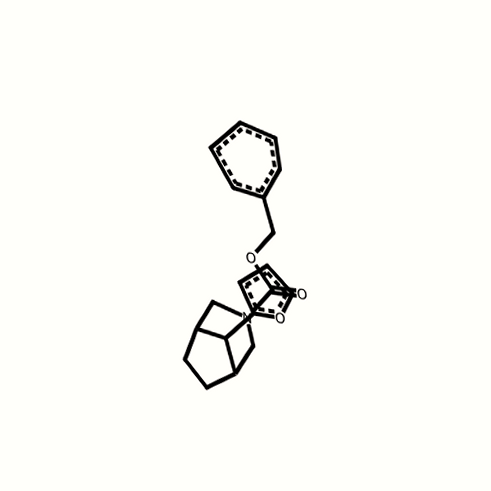 O=C(OCc1ccccc1)N1CC2CCC(C1)C2c1ccco1